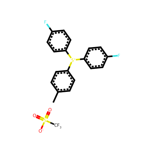 Cc1ccc([S+](c2ccc(F)cc2)c2ccc(F)cc2)cc1.O=S(=O)([O-])C(F)(F)F